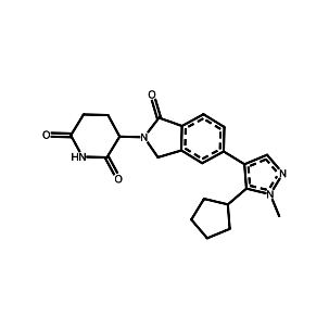 Cn1ncc(-c2ccc3c(c2)CN(C2CCC(=O)NC2=O)C3=O)c1C1CCCC1